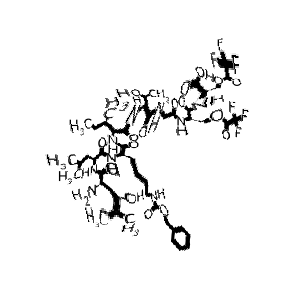 CC[C@H](C)[C@H](NC(=O)[C@@H](CCCCNC(=O)OCc1ccccc1)NC(=O)[C@H](CC(C)C)NC(=O)[C@@H](N)[C@H](O)C(C)C)C(=O)N[C@H](C(=O)NCC(=O)N[C@@H](COC(=O)C(F)(F)F)C(=O)N[C@@H](COC(=O)C(F)(F)F)C(=O)O)[C@H](C)O